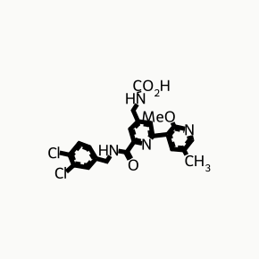 COc1ncc(C)cc1-c1cc(CNC(=O)O)cc(C(=O)NCc2ccc(Cl)c(Cl)c2)n1